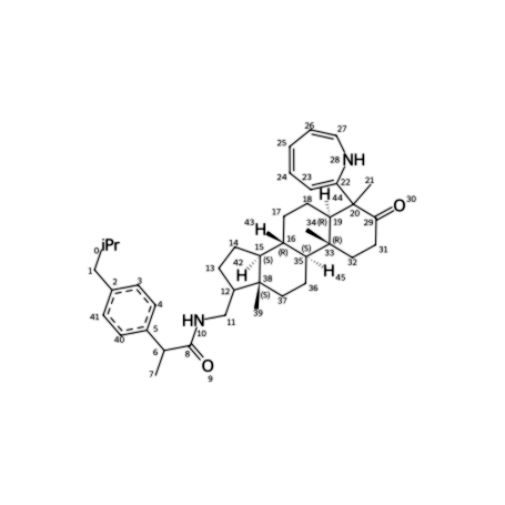 CC(C)Cc1ccc(C(C)C(=O)NCC2CC[C@H]3[C@@H]4CC[C@H]5C(C)(C6=CC=CC=CN6)C(=O)CC[C@]5(C)[C@H]4CC[C@]23C)cc1